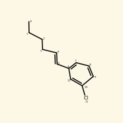 CCCC/C=C/c1cc[c]c(Cl)c1